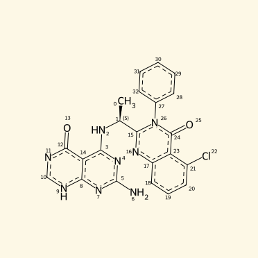 C[C@H](Nc1nc(N)nc2[nH]cnc(=O)c12)c1nc2cccc(Cl)c2c(=O)n1-c1ccccc1